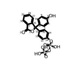 O=C1OC(c2ccc(O)cc2)(c2ccc(OP(=O)(O)OP(=O)(O)O)cc2)c2ccccc21